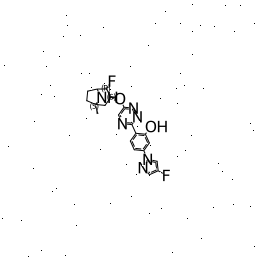 C[C@@]12CCC(N1)[C@@H](F)[C@@H](Oc1cnc(-c3ccc(-n4cc(F)cn4)cc3O)nn1)C2